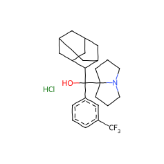 Cl.OC(c1cccc(C(F)(F)F)c1)(C1C2CC3CC(C2)CC1C3)C12CCCN1CCC2